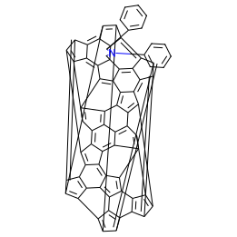 c1ccc(C2N(c3ccccc3)CC34c5c6c7c8c9c%10c(c%11c%12c3c3c5c5c%13c6c6c7c7c9c9c%14c%10c%10c%11c%11c%12c%12c3c3c5c5c%13c%13c6c6c7c9c7c9c%14c%10c%10c%11c%11c%12c3c3c5c5c%13c6c7c6c9c%10c%11c3c56)C824)cc1